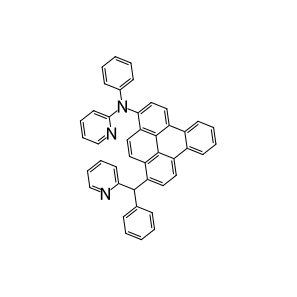 c1ccc(C(c2ccccn2)c2ccc3c4ccccc4c4ccc(N(c5ccccc5)c5ccccn5)c5ccc2c3c54)cc1